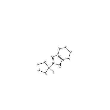 CC1(C2=CC3=C(CCCC3)[N]2)CCCC1